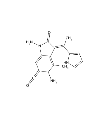 CC(=C1C(=O)N(N)C2=CC(=C=O)C(N)C(C)=C21)c1ccc[nH]1